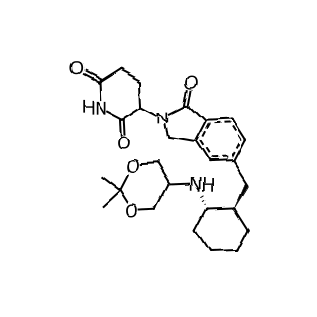 CC1(C)OCC(N[C@H]2CCCC[C@@H]2Cc2ccc3c(c2)CN(C2CCC(=O)NC2=O)C3=O)CO1